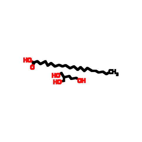 CCCCCCCCCCCCCCCCCCCCCC(=O)O.OCCCC(CO)CO